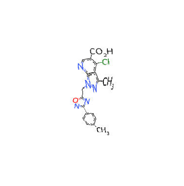 Cc1ccc(-c2noc(Cn3nc(C)c4c(Cl)c(C(=O)O)cnc43)n2)cc1